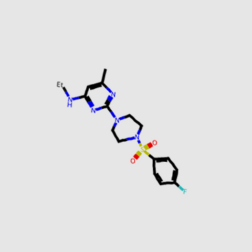 CCNc1cc(C)nc(N2CCN(S(=O)(=O)c3ccc(F)cc3)CC2)n1